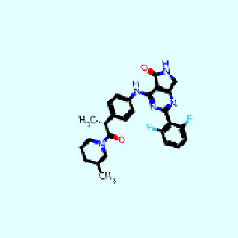 CC1CCCN(C(=O)[C@H](C)c2ccc(Nc3nc(-c4c(F)cccc4F)nc4c3C(=O)NC4)cc2)C1